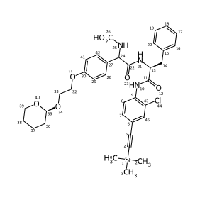 C[Si](C)(C)C#Cc1ccc(NC(=O)[C@H](Cc2ccccc2)NC(=O)C(NC(=O)O)c2ccc(OCCO[C@H]3CCCCO3)cc2)c(Cl)c1